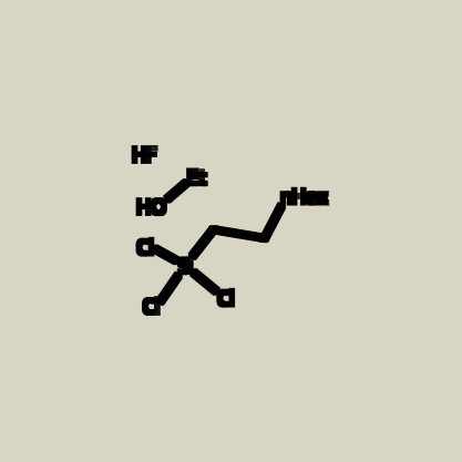 CCCCCCCC[Si](Cl)(Cl)Cl.CCO.F